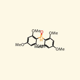 COc1cc(OC)c([PH](=O)c2c(OC)cc(OC)cc2OC)c(OC)c1